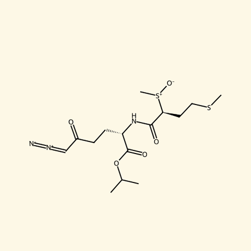 CSCC[C@@H](C(=O)N[C@@H](CCC(=O)C=[N+]=[N-])C(=O)OC(C)C)[S+](C)[O-]